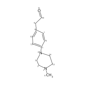 CN1CCN(c2ccc(CC=O)cc2)CC1